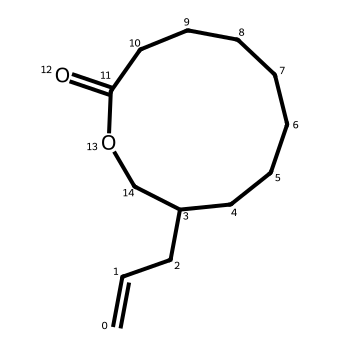 C=CCC1CCCCCCCC(=O)OC1